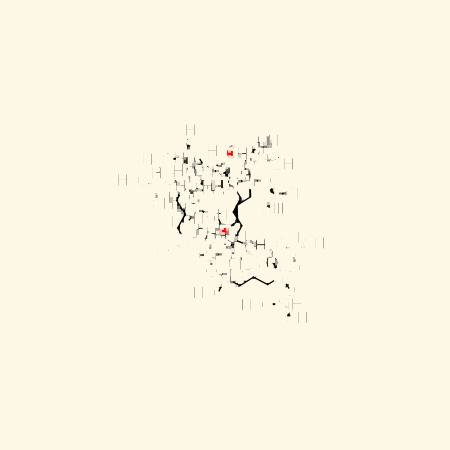 C[SiH](C)O[Si](CCC[Si](C)(C)O[Si](O[Si](C)(C)CCC[Si](O[SiH](C)C)(O[SiH](C)C)O[SiH](C)C)(O[Si](C)(C)CCC[Si](O[SiH](C)C)(O[SiH](C)C)O[SiH](C)C)O[Si](C)(C)CCC[Si](O[SiH](C)C)(O[SiH](C)C)O[SiH](C)C)(O[SiH](C)C)O[SiH](C)C